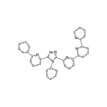 c1ccc(-c2cccc(-c3nnc(-c4cccc(-c5cccc(-c6ccccn6)n5)n4)n3-c3ccccc3)n2)cc1